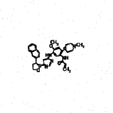 C=CC(=O)Nc1cc(Nc2cc(N3OCCC3c3ccc4ccccc4c3)ncn2)c(OC)cc1N1CCN(C)CC1